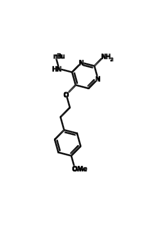 CCCCNc1nc(N)ncc1OCCc1ccc(OC)cc1